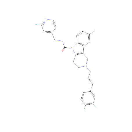 O=C(NCc1ccnc(F)c1)n1c2c(c3cc(Br)ccc31)CN(CC=Cc1ccc(Cl)c(F)c1)CC2